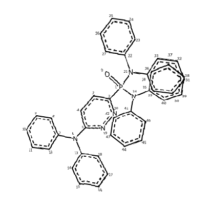 O=P(c1ccc(N(c2ccccc2)c2ccccc2)nn1)(N(c1ccccc1)c1ccccc1)N(c1ccccc1)c1ccccc1